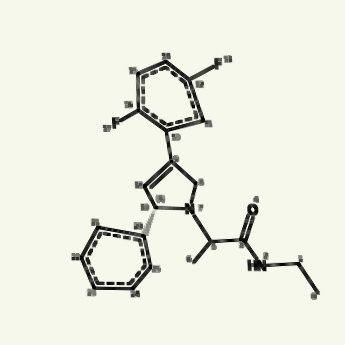 CCNC(=O)C(C)N1CC(c2cc(F)ccc2F)=C[C@H]1c1ccccc1